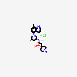 Cc1ccc(N2C[C@@H](C)C[C@@H](NC(=O)CC3(O)CCN(C)CC3)C2)c2cccnc12.Cl